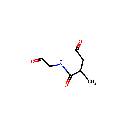 CC(CC=O)C(=O)NCC=O